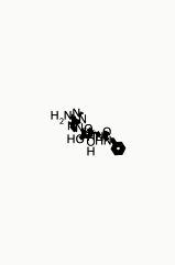 Nc1ncnc2c1ncn2[C@@H]1O[C@H](CNC(=O)NCc2ccccc2)C(O)C1O